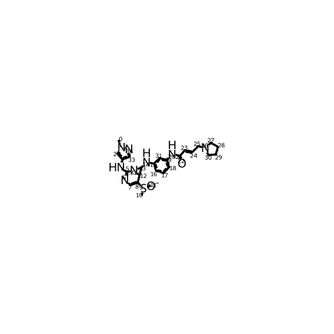 Cn1cc(NC2=NC=C([S+](C)[O-])C3C(Nc4cccc(NC(=O)/C=C/CN5CCCC5)c4)N23)cn1